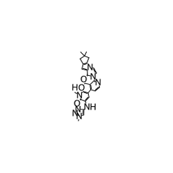 Cn1cc(Nc2cc(-c3ccnc(-n4ccn5c6c(cc5c4=O)CC(C)(C)C6)c3CO)cn(C)c2=O)nn1